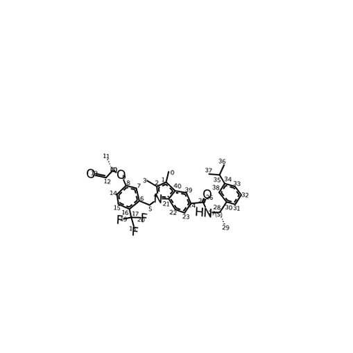 Cc1c(C)n(Cc2cc(O[C@@H](C)C=O)ccc2C(F)(F)F)c2ccc(C(=O)N[C@@H](C)c3cccc(C(C)C)c3)cc12